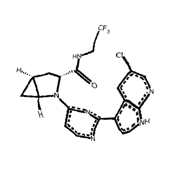 O=C(NCC(F)(F)F)[C@H]1C[C@@H]2C[C@H]2N1c1ccnc(-c2c[nH]c3ncc(Cl)cc23)n1